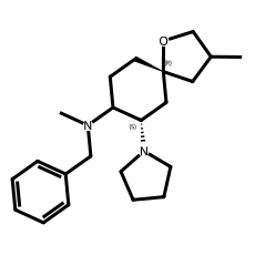 CC1CO[C@]2(CCC(N(C)Cc3ccccc3)[C@@H](N3CCCC3)C2)C1